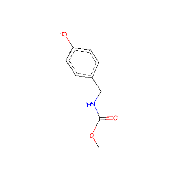 COC(=O)NCc1ccc([O])cc1